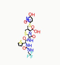 O=C(NCC(F)(F)F)NC(C(=O)N[C@H]1C(=O)N2C(C(=O)O)=C(CSc3ccc(O)n[n+]3[O-])CSC12)c1cccs1